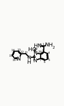 N=C(N)c1cccc2nc(NCc3ccccn3)n(O)c12